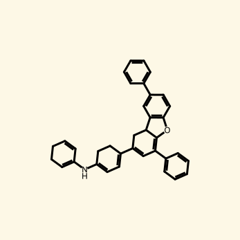 C1=CC(NC2=CC=C(C3=CC(c4ccccc4)=C4Oc5ccc(-c6ccccc6)cc5C4C3)CC2)=CCC1